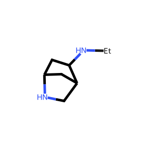 CCNC1CC2CC1CN2